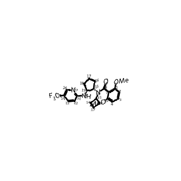 COc1cccc(OC)c1C(=O)N(C1CCC1)[C@H]1CCC[C@@H]1Nc1ccc(C(F)(F)F)cn1